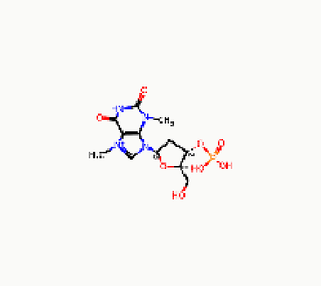 Cn1c(=O)[nH]c(=O)c2c1n([C@H]1C[C@H](OP(=O)(O)O)[C@@H](CO)O1)c[n+]2C